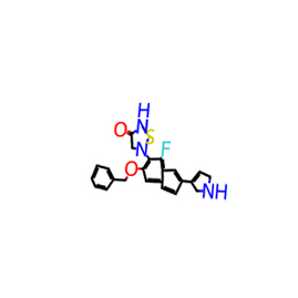 O=C1CN(c2c(OCc3ccccc3)cc3ccc(C4=CCNC4)cc3c2F)SN1